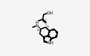 CN[C@@H]1Cc2c[nH]c3cccc(c23)[C@H]1/C=C(\C)CO